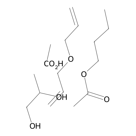 C=CCOCC=C.CC(=O)O.CC(O)CO.CCCCOC(C)=O